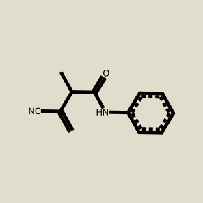 C=C(C#N)C(C)C(=O)Nc1ccccc1